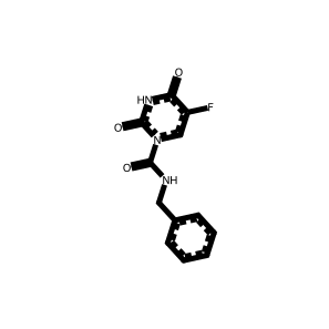 O=C(NCc1ccccc1)n1cc(F)c(=O)[nH]c1=O